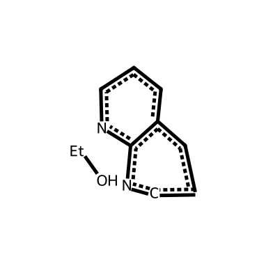 CCO.c1cnc2ncccc2c1